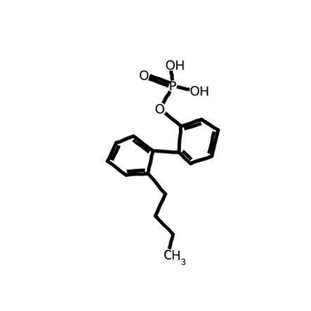 CCCCc1ccccc1-c1ccccc1OP(=O)(O)O